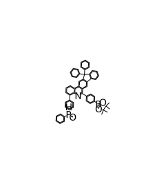 CC1(C)OB(c2ccc(-c3nc4c(-c5ccc([PH](=O)c6ccccc6)cc5)cccc4c4cc5c(cc34)-c3ccccc3C5(c3ccccc3)c3ccccc3)cc2)OC1(C)C